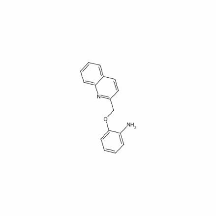 Nc1ccccc1OCc1ccc2ccccc2n1